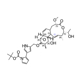 CO[C@H]1CC2C=C[C@H]3[C@H]4O[C@]2(/C(C)=C/[C@@H](C)[C@@H](C(C)O)OC1=O)[C@@H]3[C@H](O)[C@@H](C)[C@H]4OCc1cc(-c2cccn2C(=O)OC(C)(C)C)c[nH]1